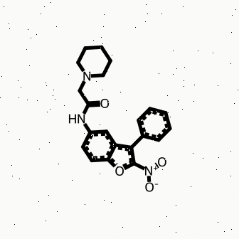 O=C(CN1CCCCC1)Nc1ccc2oc([N+](=O)[O-])c(-c3ccccc3)c2c1